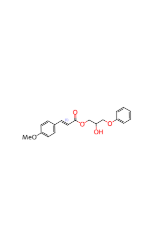 COc1ccc(/C=C/C(=O)OCC(O)COc2ccccc2)cc1